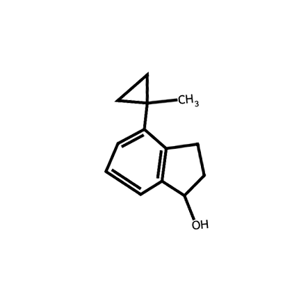 CC1(c2cccc3c2CCC3O)CC1